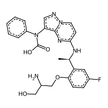 C[C@@H](Nc1ccn2ncc(N(C(=O)O)c3ccccc3)c2n1)c1cc(F)ccc1OCC(N)CO